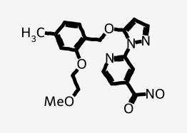 COCCOc1cc(C)ccc1COc1ccnn1-c1cc(C(=O)N=O)ccn1